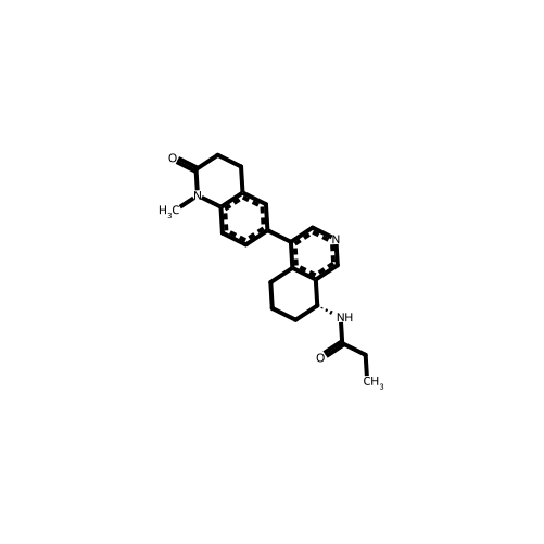 CCC(=O)N[C@@H]1CCCc2c(-c3ccc4c(c3)CCC(=O)N4C)cncc21